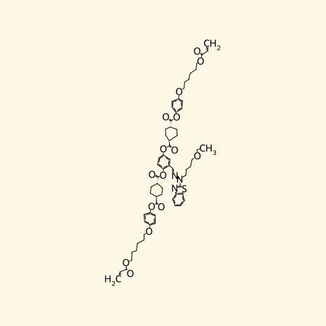 C=CC(=O)OCCCCCCOc1ccc(OC(=O)[C@H]2CC[C@H](C(=O)Oc3ccc(OC(=O)[C@H]4CC[C@H](C(=O)Oc5ccc(OCCCCCCOC(=O)C=C)cc5)CC4)c(/C=N/N(CCCCOCC)c4nc5ccccc5s4)c3)CC2)cc1